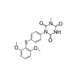 COc1cccc(OC)c1Sc1ccc(-n2c(=O)[nH]c(=O)n(C)c2=O)cc1